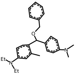 CCN(CC)c1ccc(C(OCc2ccccc2)c2ccc(N(C)C)cc2)c(C)c1